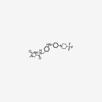 CN1CC(C(=O)NCc2ccc(Nc3ccc(N4CCC(C(F)(F)F)CC4)cc3)cc2)NC1=O